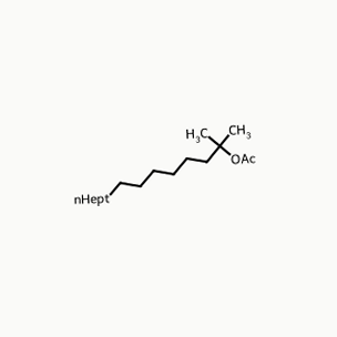 CCCCCCCCCCCCCC(C)(C)OC(C)=O